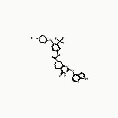 CN1CCC(Oc2ncc(NC(=O)N3CCc4c(nc(Oc5ccnc6[nH]ccc56)[nH]c4=O)C3)cc2C(F)(F)F)CC1